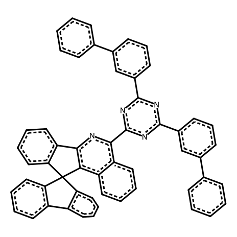 c1ccc(-c2cccc(-c3nc(-c4cccc(-c5ccccc5)c4)nc(-c4nc5c(c6ccccc46)C4(c6ccccc6-c6ccccc64)c4ccccc4-5)n3)c2)cc1